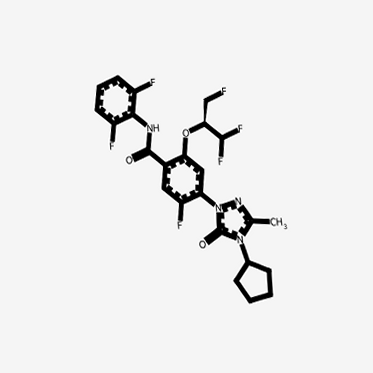 Cc1nn(-c2cc(O[C@@H](CF)C(F)F)c(C(=O)Nc3c(F)cccc3F)cc2F)c(=O)n1C1CCCC1